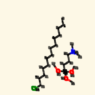 CCCCCCCCCCCCCCCl.CO[Si](CCCN(C)C)(OC)OC